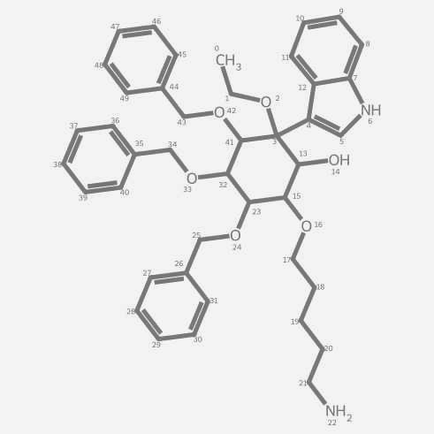 CCOC1(c2c[nH]c3ccccc23)C(O)C(OCCCCCN)C(OCc2ccccc2)C(OCc2ccccc2)C1OCc1ccccc1